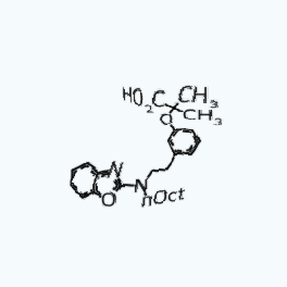 CCCCCCCCN(CCc1cccc(OC(C)(C)C(=O)O)c1)c1nc2ccccc2o1